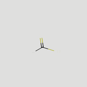 S=C(S)[TeH]